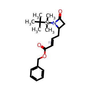 CC(C)(C)[Si](C)(C)N1C(=O)CC1C/C=C/C(=O)OCc1ccccc1